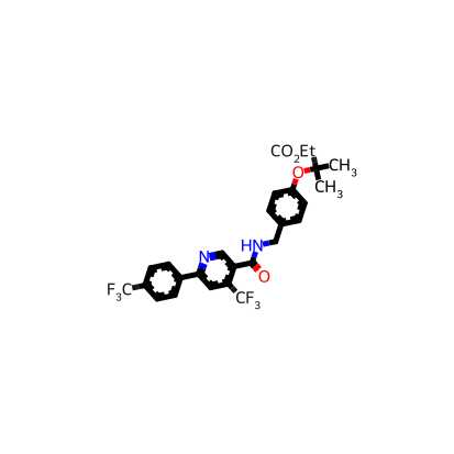 CCOC(=O)C(C)(C)Oc1ccc(CNC(=O)c2cnc(-c3ccc(C(F)(F)F)cc3)cc2C(F)(F)F)cc1